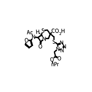 CCCOC(=O)Cn1nnnc1SCC1(C(=O)O)CS[C@@H]2C(N(C(C)=O)c3ccco3)C(=O)N2C1